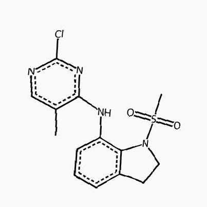 Cc1cnc(Cl)nc1Nc1cccc2c1N(S(C)(=O)=O)CC2